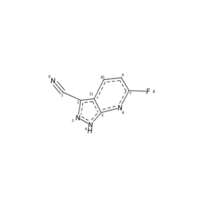 N#Cc1n[nH]c2nc(F)ccc12